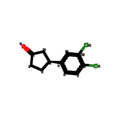 O=C1CC[C@H](c2ccc(Cl)c(Cl)c2)C1